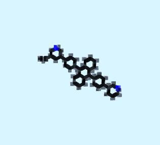 Cc1cncc(-c2ccc(-c3c4ccccc4c(-c4ccc(-c5cccnc5)cc4)c4ccccc34)cc2)c1